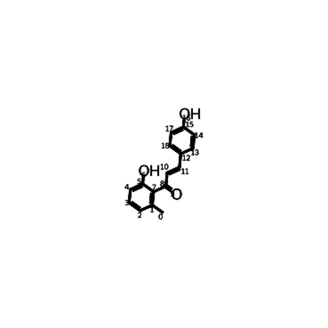 Cc1cccc(O)c1C(=O)/C=C/c1ccc(O)cc1